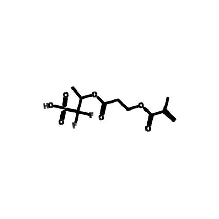 C=C(C)C(=O)OCCC(=O)OC(C)C(F)(F)S(=O)(=O)O